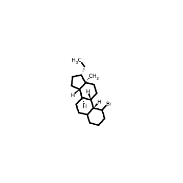 CC[C@H]1CC[C@H]2[C@@H]3CCC4CCCC(Br)[C@H]4[C@H]3CC[C@]12C